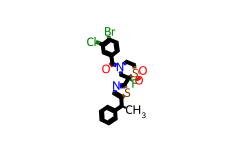 C[C@@H](c1ccccc1)c1cnc([C@]2(F)CN(C(=O)c3ccc(Br)c(Cl)c3)CCS2(=O)=O)s1